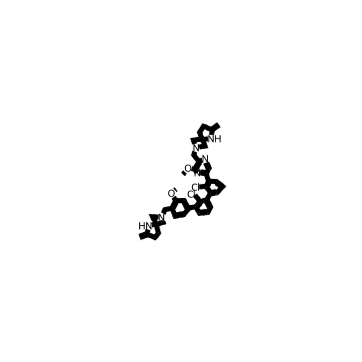 C=C1CCC2(CN(Cc3ccc(-c4cccc(-c5cccc(-c6cnc(CN7CC8(CCC(=C)N8)C7)c(OC)n6)c5Cl)c4Cl)cc3OC)C2)N1